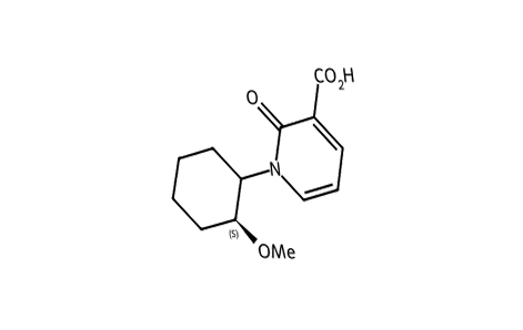 CO[C@H]1CCCCC1n1cccc(C(=O)O)c1=O